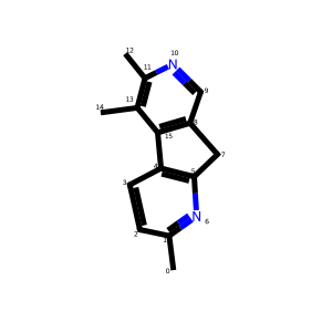 Cc1ccc2c(n1)Cc1cnc(C)c(C)c1-2